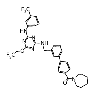 O=C(c1ccc(-c2cccc(CNc3nc(Nc4cccc(C(F)(F)F)c4)nc(OCC(F)(F)F)n3)c2)cc1)N1CCCCCC1